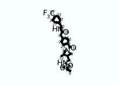 C=CS(=O)(=O)NCC1CN(C(=O)c2ccc(CC(=O)NCc3ccc(C(F)(F)F)cc3)cc2)CC1C